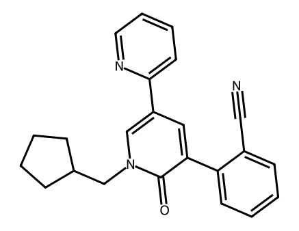 N#Cc1ccccc1-c1cc(-c2ccccn2)cn(CC2CCCC2)c1=O